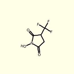 O=C1CC(C(F)(F)F)C(=O)N1O